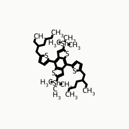 CCCCC(CC)Cc1ccc(-c2c3c[c]([Sn]([CH3])([CH3])[CH3])sc3c(-c3ccc(CC(CC)CCCC)s3)c3c[c]([Sn]([CH3])([CH3])[CH3])sc23)s1